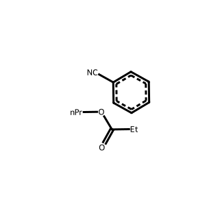 CCCOC(=O)CC.N#Cc1ccccc1